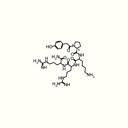 N=C(N)NCCCC(NC(=O)C(CCCNC(=N)N)NC(=O)C(CCCCN)NC(=O)[C@@H]1CCCN1C(=O)Cc1ccc(O)cc1)C(N)=O